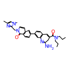 CCCN(CCC)C(=O)C1=Cc2ccc(-c3ccc4c(=O)n(Cc5nc(C)cn5C)ccc4c3)cc2N=C(N)C1